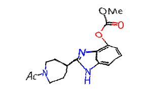 COC(=O)Oc1cccc2[nH]c(C3CCN(C(C)=O)CC3)nc12